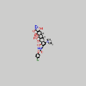 CN(C)c1cc(CNC(=O)Oc2ccc(Br)cc2)c(O)c2c1C[C@H]1C[C@H]3CC(O)=C(C(N)=O)C(=O)[C@@]3(O)C(O)=C1C2=O